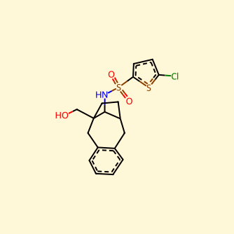 O=S(=O)(NC1C2CCC1(CO)Cc1ccccc1C2)c1ccc(Cl)s1